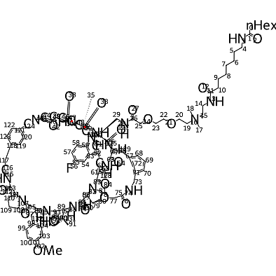 CCCCCCC(=O)NCCCCCCCC(=O)NCC[N+](C)(C)CCOCCOCC(=O)NC[C@H]1NC(=O)[C@H](C)NC(=O)CCC(=O)N2CCCCCCn3cc(c4cc(F)ccc43)C[C@@H]3NC(=O)[C@H](Cc4cccc(c4)CNC(=O)COC4CCN(C3=O)[C@@H]4C(=O)N[C@@H]([C@@H](C)O)C(=O)N[C@@H](Cc3ccc(OC)cc3)C(=O)N3CCC[C@@]3(C)C(=O)NCCc3ccc(cc3)C2)NC1=O